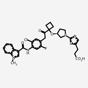 Cn1cc(C(=O)Nc2cc(F)c(CC(=O)C3(O[C@H]4CCN(c5ncc(CCC(=O)O)s5)C4)CCC3)cc2Cl)c2ccccc21